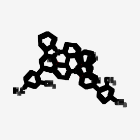 Cc1ccc(-c2ccc3c(c2)c2ccccc2n3-c2cccc(C#N)c2-c2c(-c3ccc(C#N)cc3C(F)(F)F)cccc2-n2c3ccccc3c3cc(-c4ccc(C)cc4C)ccc32)c(C)c1